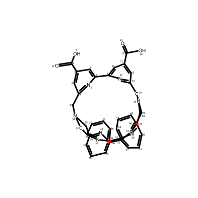 O=C(O)c1cc2nc(c1)-c1cc(C(=O)O)cc(n1)CN1Cc3cccc(n3)-c3cccc(n3)CN(Cc3cccc(n3)-c3cccc(n3)C1)C2